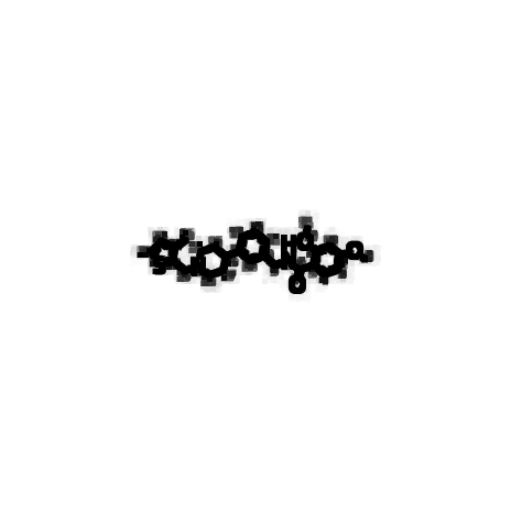 COc1ccc(C(=O)NCc2cccc(C3CCN(Cc4sccc4C)CC3)c2)c(OC)c1